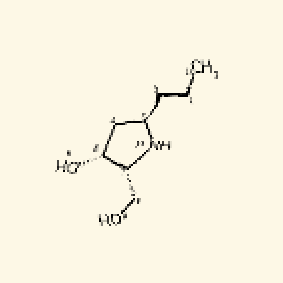 CCC[C@@H]1C[C@@H](O)[C@@H](CO)N1